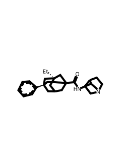 CC[C@@]12CC3CC(C(=O)NC4CN5CCC4CC5)(C1)C[C@](c1ccccc1)(C3)C2